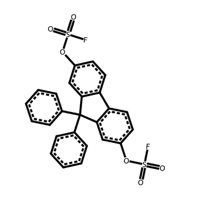 O=S(=O)(F)Oc1ccc2c(c1)C(c1ccccc1)(c1ccccc1)c1cc(OS(=O)(=O)F)ccc1-2